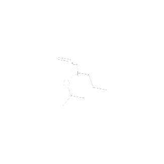 C=C[SiH](CCC)OC(C)C